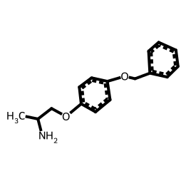 CC(N)COc1ccc(OCc2ccccc2)cc1